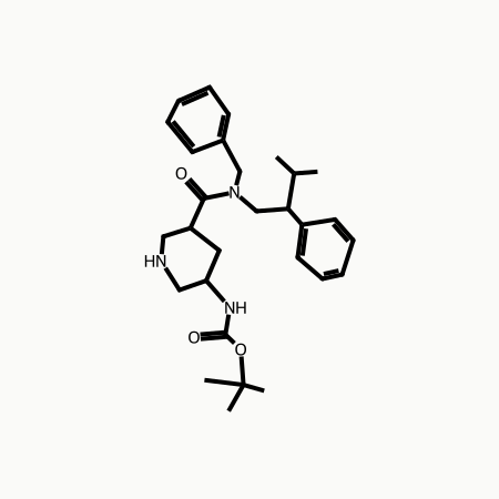 CC(C)C(CN(Cc1ccccc1)C(=O)C1CNCC(NC(=O)OC(C)(C)C)C1)c1ccccc1